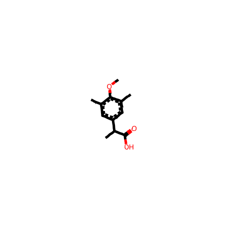 COc1c(C)cc(C(C)C(=O)O)cc1C